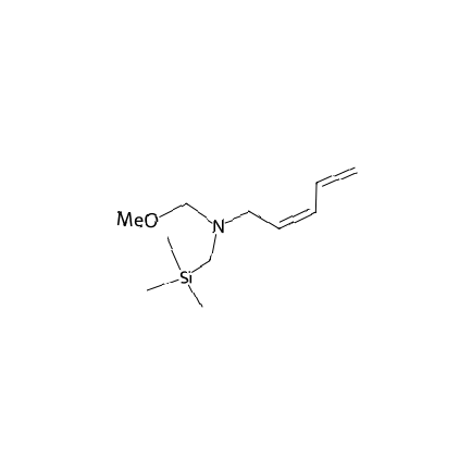 C=C/C=C\CN(COC)C[Si](C)(C)C